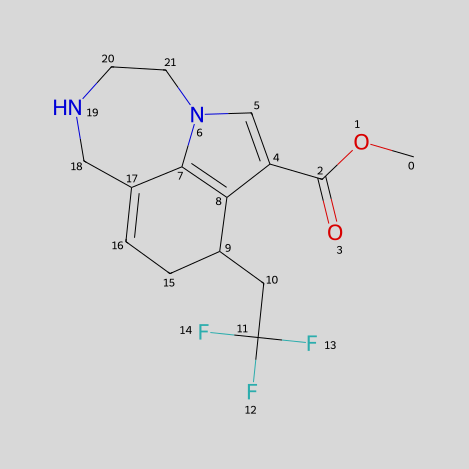 COC(=O)c1cn2c3c1C(CC(F)(F)F)CC=C3CNCC2